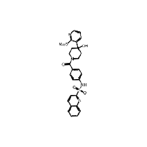 COc1ncccc1C1(O)CCN(C(=O)c2ccc(NS(=O)(=O)c3ccc4ccccc4n3)cc2)CC1